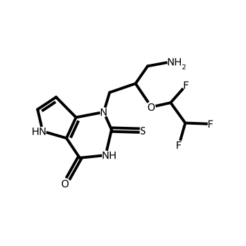 NCC(Cn1c(=S)[nH]c(=O)c2[nH]ccc21)OC(F)C(F)F